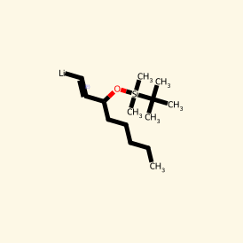 [Li]/[CH]=C/C(CCCCC)O[Si](C)(C)C(C)(C)C